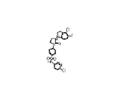 O=C1[C@@H](N2CCc3c2ccc(F)c3Cl)CCN1c1ccc(S(=O)(=O)Nc2ccc(Cl)nn2)cc1